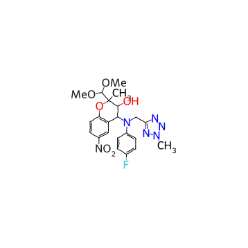 COC(OC)C1(C)Oc2ccc([N+](=O)[O-])cc2C(N(Cc2nnn(C)n2)c2ccc(F)cc2)C1O